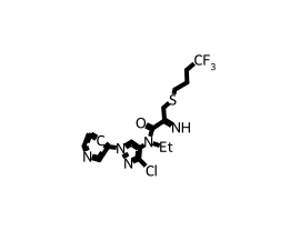 CCN(C(=O)C(=N)CSCCCC(F)(F)F)c1cn(-c2cccnc2)nc1Cl